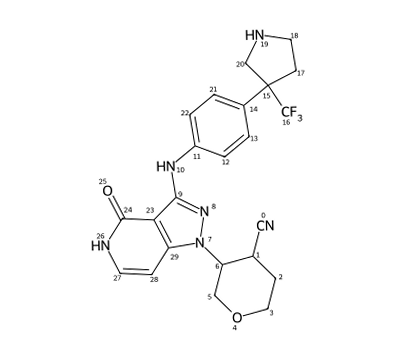 N#CC1CCOCC1n1nc(Nc2ccc(C3(C(F)(F)F)CCNC3)cc2)c2c(=O)[nH]ccc21